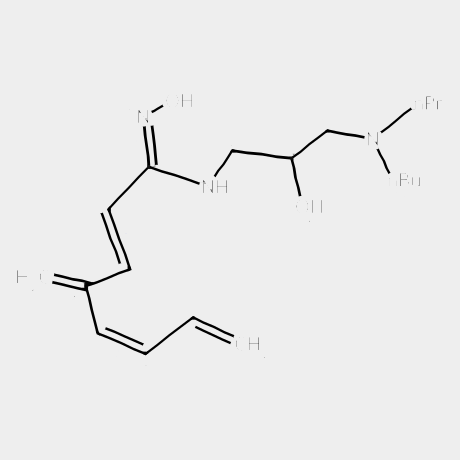 C=C/C=C\C(=C)/C=C/C(=N/O)NCC(O)CN(CCC)CCCC